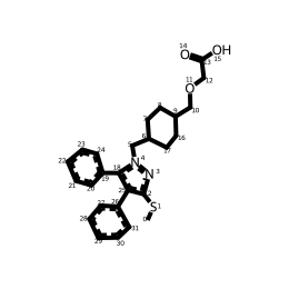 CSc1nn(CC2CCC(COCC(=O)O)CC2)c(-c2ccccc2)c1-c1ccccc1